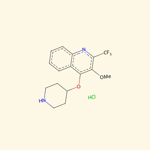 COc1c(C(F)(F)F)nc2ccccc2c1OC1CCNCC1.Cl